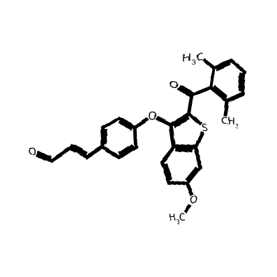 COc1ccc2c(Oc3ccc(/C=C/C=O)cc3)c(C(=O)c3c(C)cccc3C)sc2c1